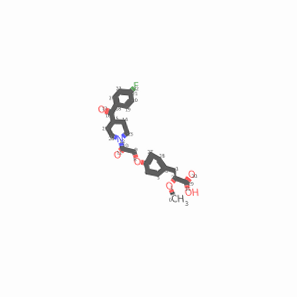 CO[C@@H](Cc1ccc(OCC(=O)N2CCC(C(=O)c3ccc(F)cc3)CC2)cc1)C(=O)O